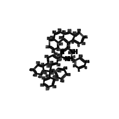 c1ccc(C2NC(c3c4ccccc4cc4ccc5ccccc5c34)=NC(c3ccc4c(c3)C(c3ccccc3)(c3ccccc3)c3ccccc3-4)N2)cc1